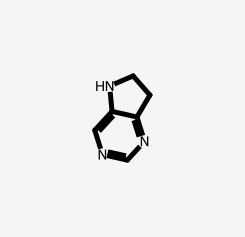 c1ncc2c(n1)CCN2